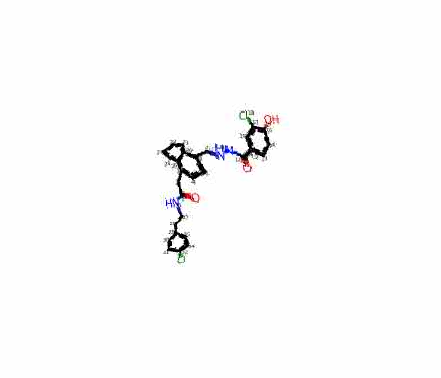 O=C(Cc1ccc(/C=N/NC(=O)c2ccc(O)c(Cl)c2)c2ccccc12)NCCc1ccc(Cl)cc1